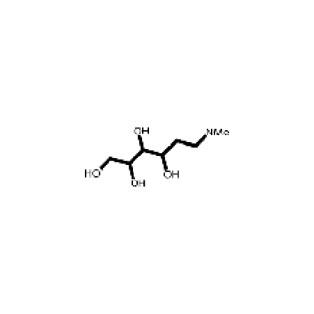 CNCCC(O)C(O)C(O)CO